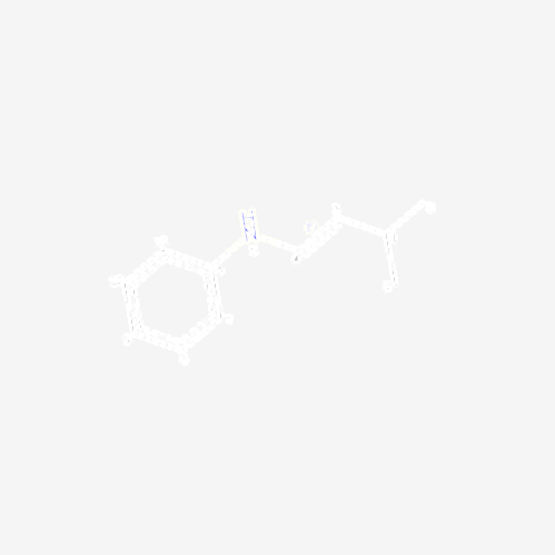 CC(C)/C=C/Nc1ccccc1